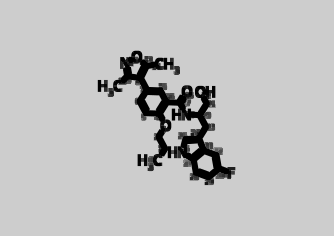 CCCOc1ccc(-c2c(C)noc2C)cc1C(=O)NC(CO)Cc1c[nH]c2ccc(F)cc12